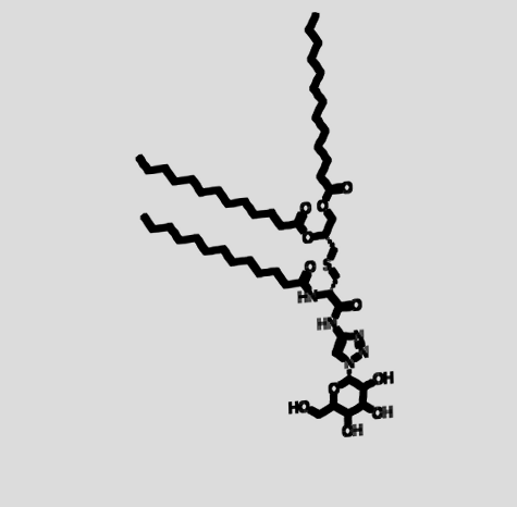 CCCCCCCCCCCCC(=O)N[C@H](CSC[C@@H](COC(=O)CCCCCCCCCCCC)OC(=O)CCCCCCCCCCCC)C(=O)Nc1cn([C@H]2OC(CO)C(O)C(O)C2O)nn1